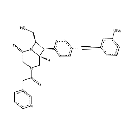 COc1cccc(C#Cc2ccc([C@@H]3[C@H](CO)N4C(=O)CN(C(=O)Cc5cccnc5)C[C@@H]34)cc2)c1